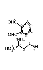 N[C@@H](CCS)C(=O)O.O=Cc1ccccc1C=O